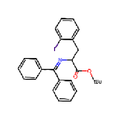 CC(C)(C)OC(=O)C(Cc1ccccc1I)N=C(c1ccccc1)c1ccccc1